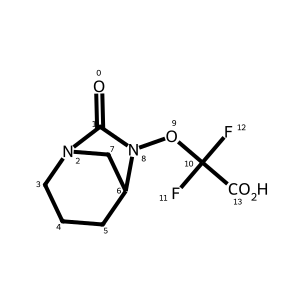 O=C1N2CCCC(C2)N1OC(F)(F)C(=O)O